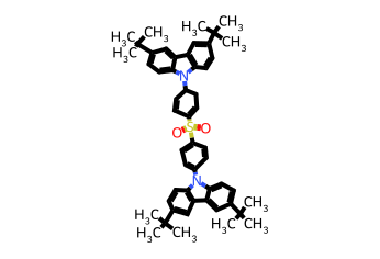 CC(C)(C)c1ccc2c(c1)c1cc(C(C)(C)C)ccc1n2-c1ccc(S(=O)(=O)C2=CCC(n3c4ccc(C(C)(C)C)cc4c4cc(C(C)(C)C)ccc43)C=C2)cc1